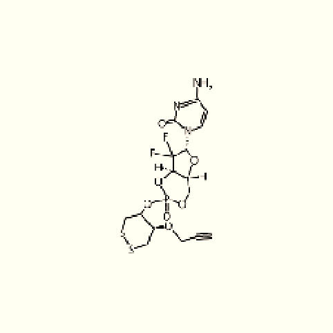 C#CCO[C@H]1CSSCC1OP1(=O)OC[C@H]2O[C@@H](n3ccc(N)nc3=O)C(F)(F)[C@@H]2O1